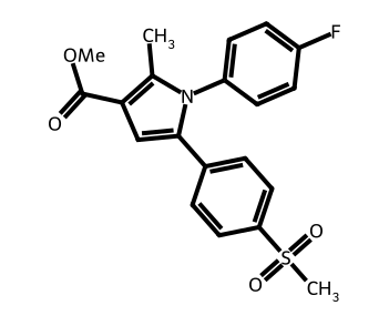 COC(=O)c1cc(-c2ccc(S(C)(=O)=O)cc2)n(-c2ccc(F)cc2)c1C